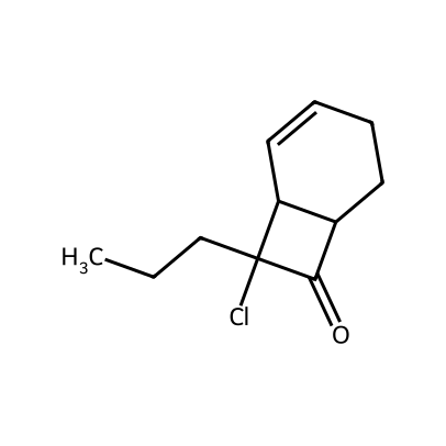 CCCC1(Cl)C(=O)C2CCC=CC21